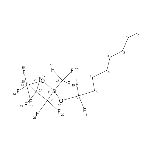 CCCCCCCC(F)(F)O[Si](OC(F)(F)F)(C(F)(F)F)C(F)(F)C(C)(F)F